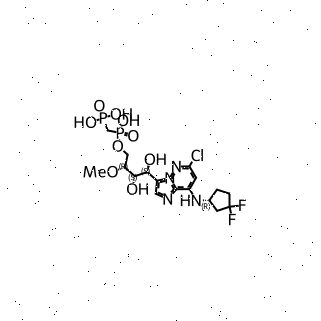 CO[C@H](COP(=O)(O)CP(=O)(O)O)[C@@H](O)[C@@H](O)c1cnc2c(N[C@@H]3CCC(F)(F)C3)cc(Cl)nn12